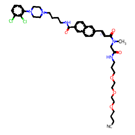 CN(CC(=O)NCCCOCCOCCOCCCC#N)C(=O)/C=C/c1ccc2cc(C(=O)NCCCCN3CCN(c4cccc(Cl)c4Cl)CC3)ccc2c1